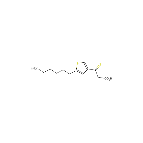 CCCCCCCCCCCCCCc1cc(C(=S)CC(=O)O)cs1